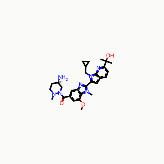 COc1cc(C(=O)N2C[C@H](N)CCN2C)cc2nc(-c3cc4ccc(C(C)(C)O)nc4n3CC3CC3)n(C)c12